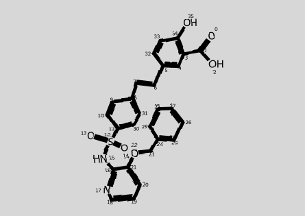 O=C(O)c1cc(/C=C/c2ccc(S(=O)(=O)Nc3ncccc3OCc3ccccc3)cc2)ccc1O